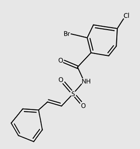 O=C(NS(=O)(=O)C=Cc1ccccc1)c1ccc(Cl)cc1Br